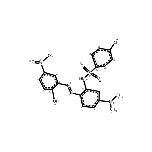 CN(C)c1ccc(N=Nc2cc([N+](=O)[O-])ccc2O)c(NS(=O)(=O)c2ccc(Cl)cc2)c1